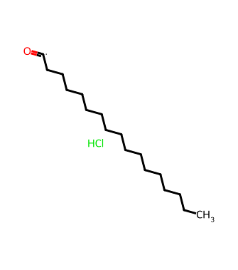 CCCCCCCCCCCCCCCC[C]=O.Cl